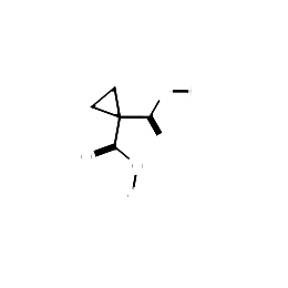 CCOC(=O)C1(C(=O)OCl)CC1